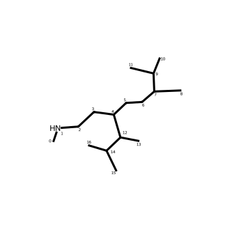 CNCCC(CCC(C)C(C)C)C(C)C(C)C